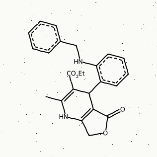 CCOC(=O)C1=C(C)NC2=C(C(=O)OC2)C1c1ccccc1NCc1ccccc1